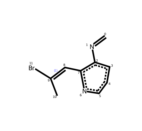 C=Nc1cccnc1/C=C(\C)Br